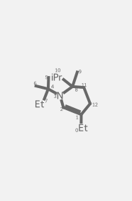 CCC1=CN(C(C)(C)CC)C(C)(C(C)C)CC1